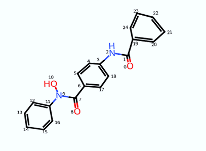 O=C(Nc1ccc(C(=O)N(O)c2ccccc2)cc1)c1ccccc1